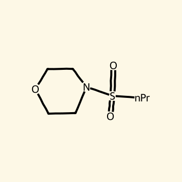 CCCS(=O)(=O)N1CCOCC1